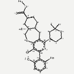 CC(C)(C)OC(=O)N1CCN2Cc3c(N4CCOC(C)(C)C4)nc(-c4c(O)cccc4F)c(Cl)c3OC[C@H]2C1